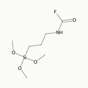 CO[Si](CCCNC(=O)F)(OC)OC